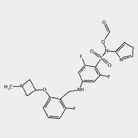 CN1CC(Oc2cccc(F)c2CNc2cc(F)c(S(=O)(=O)N(OC=O)c3cscn3)c(F)c2)C1